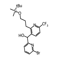 CC(C)(C)[Si](C)(C)OCCCc1nc(C(F)(F)F)ccc1C(O)c1cccc(Br)n1